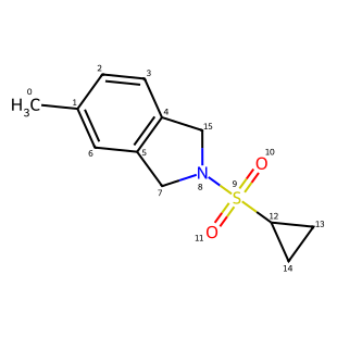 Cc1ccc2c(c1)CN(S(=O)(=O)C1CC1)C2